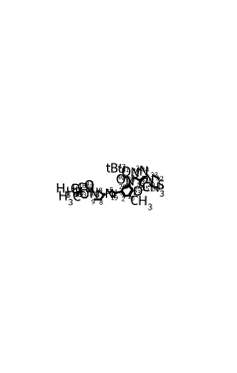 Cc1cc(C2CN(C3CCN(C(=O)O[PH](C)(C)C)C3)C2)cc2c1O[C@H](C)c1c(N3CCSCC3)ncnc1N2C(=O)OC(C)(C)C